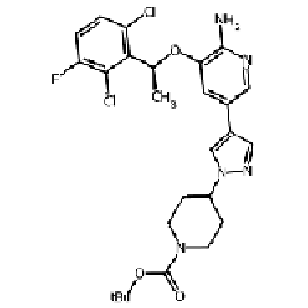 C[C@H](Oc1cc(-c2cnn(C3CCN(C(=O)OC(C)(C)C)CC3)c2)cnc1N)c1c(Cl)ccc(F)c1Cl